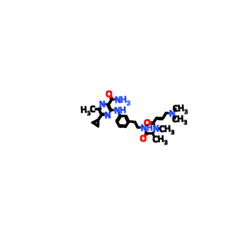 Cc1nc(C(N)=O)c(Nc2cccc(CCNC(=O)[C@H](C)N(C)C(=O)/C=C/CN(C)C)c2)nc1C1CC1